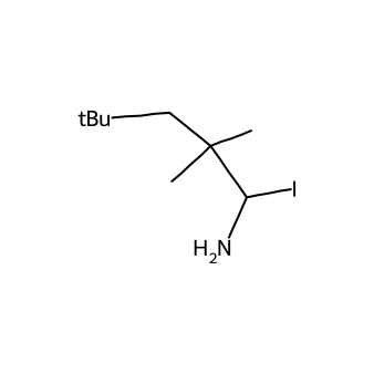 CC(C)(C)CC(C)(C)C(N)I